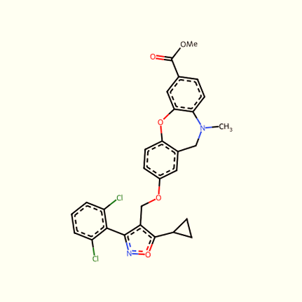 COC(=O)c1ccc2c(c1)Oc1ccc(OCc3c(-c4c(Cl)cccc4Cl)noc3C3CC3)cc1CN2C